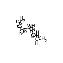 CC(=O)c1ccc(-c2cncc3[nH]c(-c4n[nH]c5cnc(-c6cncc(NC(C)C)c6)cc45)cc23)s1